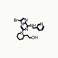 OCCC1CCCCN1c1cn2c(Br)cnc2c(NCc2cccnc2)n1